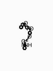 O=C(c1ccc(OCCCC[S+]([O-])c2nc3ccccc3[nH]2)cc1)N1CCC(N2C(=O)CCc3ccccc32)CC1